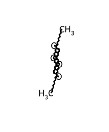 CCCCCCCCCC(=O)c1ccc2cc3c(cc2c1)oc1cc2c(cc13)oc1cc3cc(C(=O)CCCCCCCCC)ccc3cc12